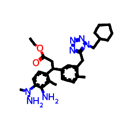 CCOC(=O)CC(c1ccc(C)c(Cc2nnnn2CC2CCCCC2)c1)c1ccc(N(C)N)c(N)c1C